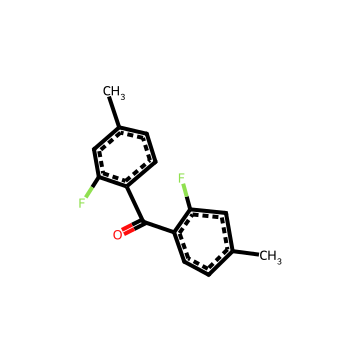 Cc1ccc(C(=O)c2ccc(C)cc2F)c(F)c1